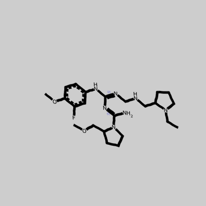 CCN1CCCC1CNC/N=C(\N=C(/N)N1CCCC1COC)Nc1ccc(OC)c(F)c1